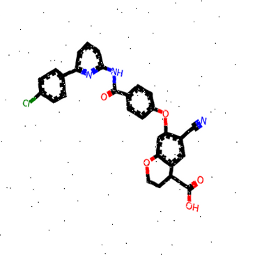 N#Cc1cc2c(cc1Oc1ccc(C(=O)Nc3cccc(-c4ccc(Cl)cc4)n3)cc1)OCCC2C(=O)O